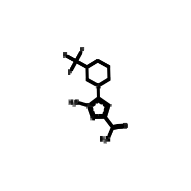 Cn1nc(C(N)=O)[c]c1N1CCCC(C(F)(F)F)C1